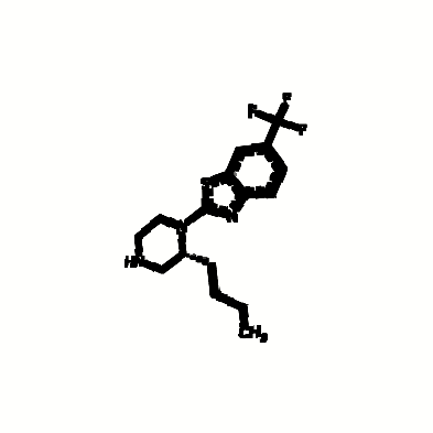 CCCC[C@@H]1CNCCN1c1nc2ccc(C(F)(F)F)cc2s1